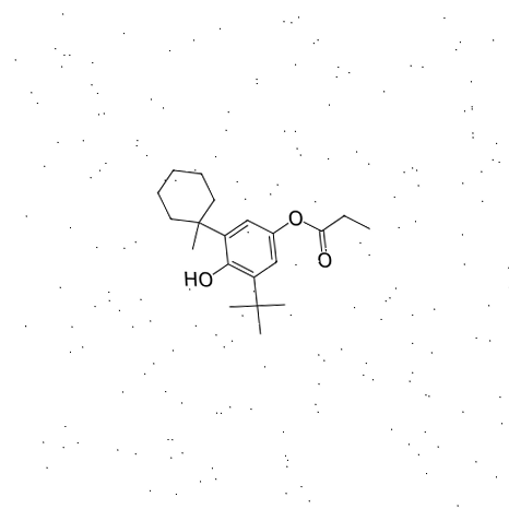 CCC(=O)Oc1cc(C(C)(C)C)c(O)c(C2(C)CCCCC2)c1